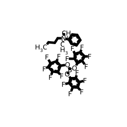 CCCC[N+](C)(C)c1ccccc1.Fc1c(F)c(F)c(OB(Oc2c(F)c(F)c(F)c(F)c2F)Oc2c(F)c(F)c(F)c(F)c2F)c(F)c1F